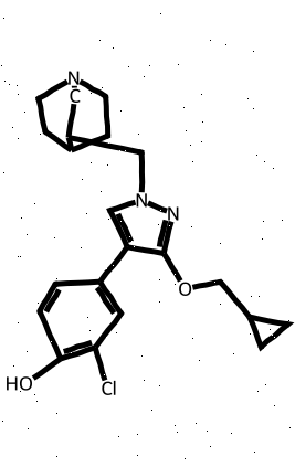 Oc1ccc(-c2cn(CC3CN4CCC3CC4)nc2OCC2CC2)cc1Cl